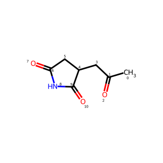 CC(=O)CC1CC(=O)NC1=O